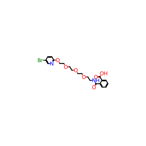 O=C(O)c1ccccc1C(=O)NCCOCCOCCOCCOc1ccc(Br)cn1